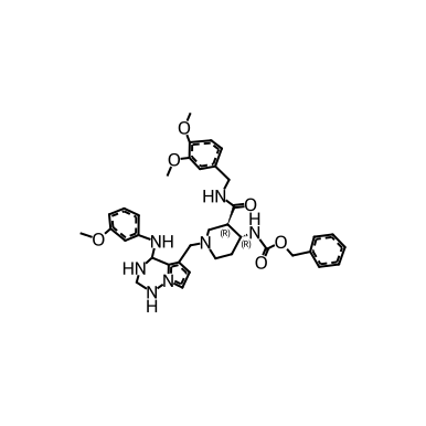 COc1cccc(NC2NCNn3ccc(CN4CC[C@@H](NC(=O)OCc5ccccc5)[C@H](C(=O)NCc5ccc(OC)c(OC)c5)C4)c32)c1